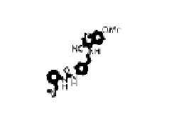 COc1ccc2c(NCCc3ccc(NC(=O)Nc4ccccc4CN(C)C)cc3)c(C#N)cnc2c1